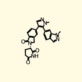 Cn1ncc(-c2ccc3c(c2)CN([C@H]2CCC(=O)NC2=O)C3=O)c1-c1ccc2cnn(C)c2c1